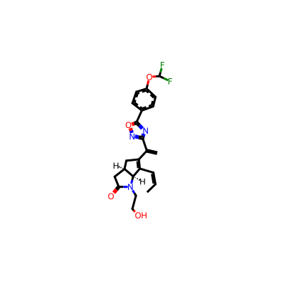 C=C(C1=C(/C=C\C)[C@@H]2[C@@H](CC(=O)N2CCO)C1)c1noc(-c2ccc(OC(F)F)cc2)n1